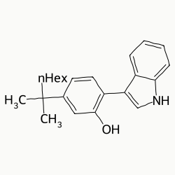 CCCCCCC(C)(C)c1ccc(-c2c[nH]c3ccccc23)c(O)c1